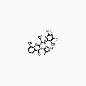 Cc1c[nH]nc1-n1c(C(Nc2nc(N)nc(Cl)c2C#N)C2CC2)nc2c(C#N)cccc2c1=O